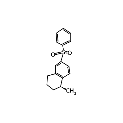 C[C@H]1CCCc2cc(S(=O)(=O)c3ccccc3)ccc21